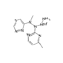 Cc1ccnc(N(NN)N(C)c2cncnn2)n1